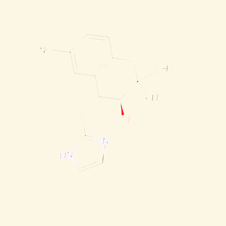 CC1(C)Oc2ccc(C#N)cc2[C@@H](Sc2ncc[nH]2)[C@@H]1O